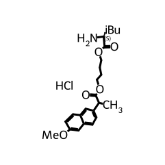 CCC(C)[C@H](N)C(=O)OCCCCOC(=O)C(C)c1ccc2cc(OC)ccc2c1.Cl